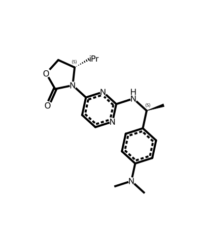 CC(C)[C@H]1COC(=O)N1c1ccnc(N[C@@H](C)c2ccc(N(C)C)cc2)n1